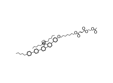 CCCCCc1ccc(-c2ccc(-c3ccc4c(c3)C3(c5cc(-c6ccc(OCCCCCCCOC(=O)/C=C/C(=O)OCCOC(C)=O)cc6)ccc5-4)C4(CCCCC)CCC3(CCCCC)CC4)cc2)cc1